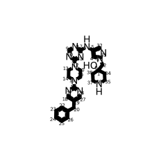 OC1(Cn2cc(Nc3ncnc(N4CCN(c5ncc(Cc6ccccc6)cn5)CC4)n3)cn2)CCNCC1